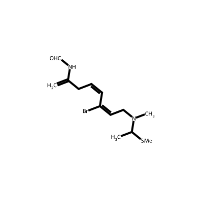 C=C(C/C=C\C(Br)=C/CN(C)C(C)SC)NC=O